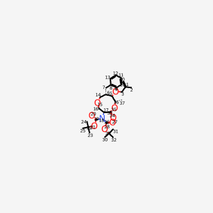 C=C(C)CO[C@@H]1[C@@H](Cc2ccccc2)COC[C@H](N(C(=O)OC(C)(C)C)C(=O)OC(C)(C)C)C(=O)O[C@H]1C